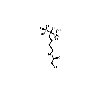 O=C(CO)NCCCCC(O)(P(=O)(O)O)P(=O)(O)O